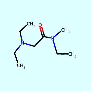 CCN(CC)CC(=O)N(C)CC